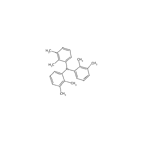 Cc1ccc[c]([In]([c]2cccc(C)c2C)[c]2cccc(C)c2C)c1C